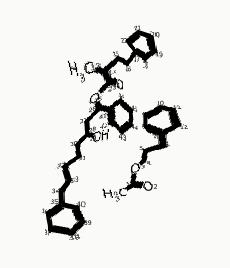 CC(=O)OCCCc1ccccc1.CC(CCc1ccccc1)C(=O)OC(CC(O)CCCCCc1ccccc1)c1ccccc1